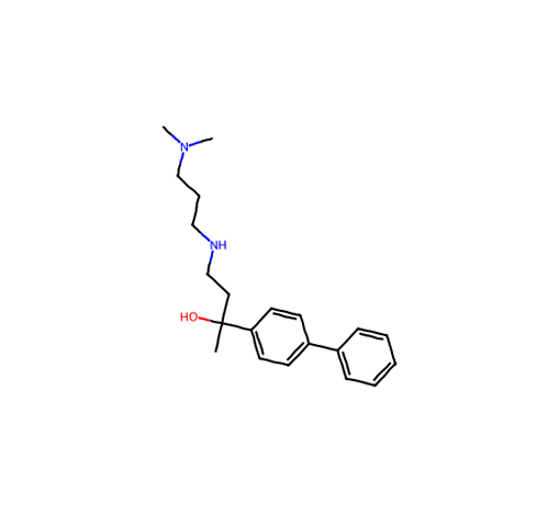 CN(C)CCCNCCC(C)(O)c1ccc(-c2ccccc2)cc1